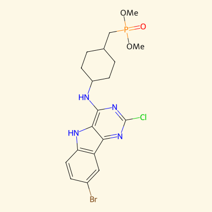 COP(=O)(CC1CCC(Nc2nc(Cl)nc3c2[nH]c2ccc(Br)cc23)CC1)OC